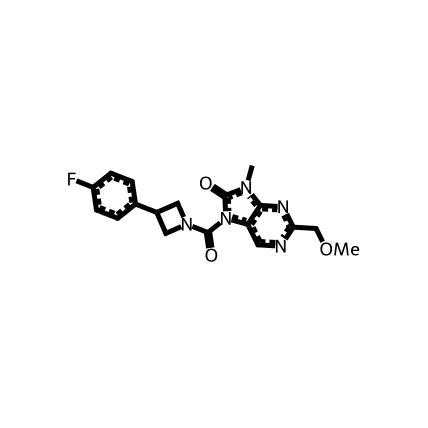 COCc1ncc2c(n1)n(C)c(=O)n2C(=O)N1CC(c2ccc(F)cc2)C1